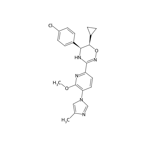 COc1nc(C2=NO[C@H](C3CC3)[C@H](c3ccc(Cl)cc3)N2)ccc1-n1cnc(C)c1